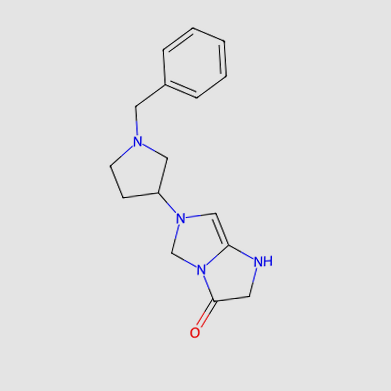 O=C1CNC2=CN(C3CCN(Cc4ccccc4)C3)CN12